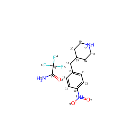 NC(=O)C(F)(F)F.O=[N+]([O-])c1ccc(CC2CCNCC2)cc1